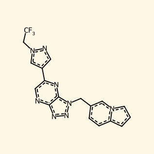 FC(F)(F)Cn1cc(-c2cnc3nnn(Cc4ccc5cccn5c4)c3n2)cn1